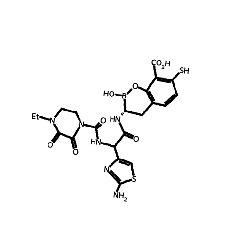 CCN1CCN(C(=O)NC(C(=O)N[C@H]2Cc3ccc(S)c(C(=O)O)c3OB2O)c2csc(N)n2)C(=O)C1=O